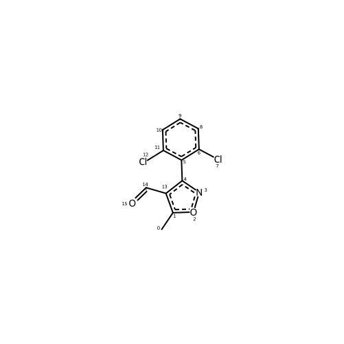 Cc1onc(-c2c(Cl)cccc2Cl)c1[C]=O